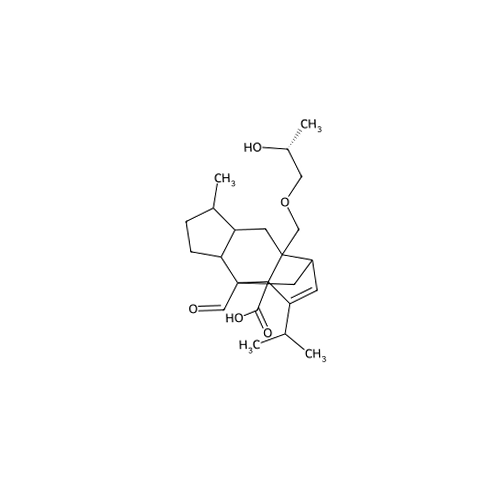 CC(C)C1=CC2CC3(C=O)C4CCC(C)C4CC2(COC[C@@H](C)O)C13C(=O)O